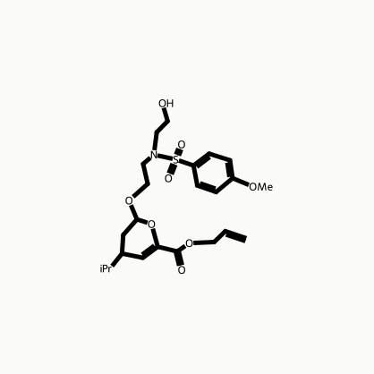 C=CCOC(=O)C1=CC(C(C)C)CC(OCCN(CCO)S(=O)(=O)c2ccc(OC)cc2)O1